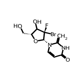 C=C1NC(=O)C=CN1[C@@H]1O[C@H](CO)C(O)[C@]1(F)Br